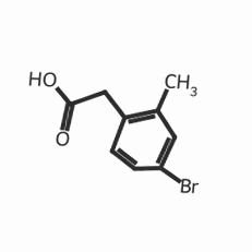 Cc1cc(Br)ccc1CC(=O)O